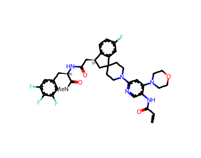 C=CC(=O)Nc1cnc(N2CCC3(CC2)C[C@@H](CC(=O)N[C@H](Cc2cc(F)c(F)c(F)c2)C(=O)NC)c2ccc(F)cc23)cc1N1CCOCC1